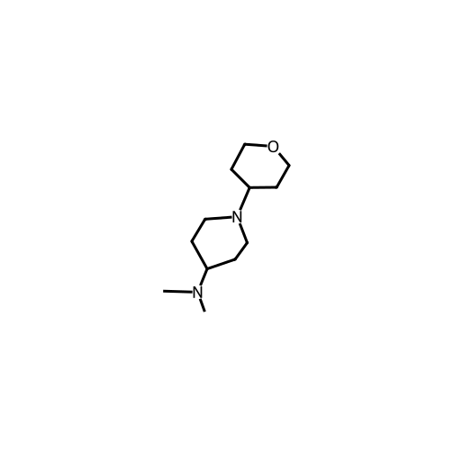 CN(C)C1CCN(C2CCOCC2)CC1